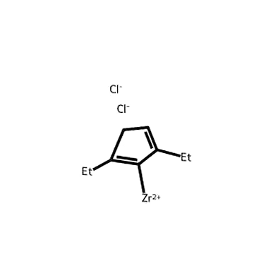 CCC1=CCC(CC)=[C]1[Zr+2].[Cl-].[Cl-]